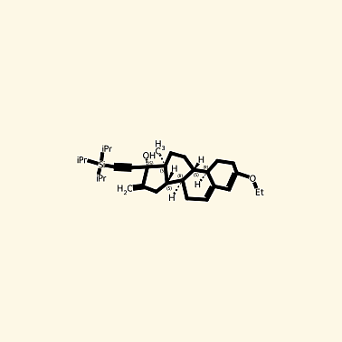 C=C1C[C@H]2[C@@H]3CC=C4C=C(OCC)CC[C@@H]4[C@H]3CC[C@]2(C)[C@]1(O)C#C[Si](C(C)C)(C(C)C)C(C)C